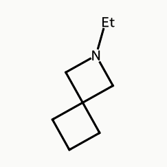 CCN1CC2(CCC2)C1